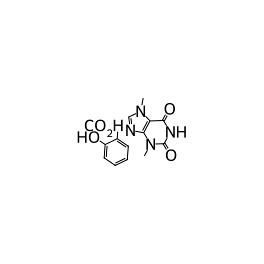 Cn1cnc2c1c(=O)[nH]c(=O)n2C.O=C(O)c1ccccc1O